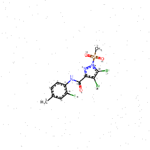 Cc1ccc(NC(=O)c2nn(S(C)(=O)=O)c(Br)c2Br)c(F)c1